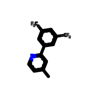 Cc1ccnc(-c2cc(C(F)(F)F)cc(C(F)(F)F)c2)c1